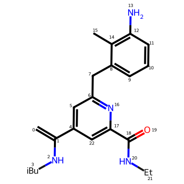 C=C(NC(C)CC)c1cc(Cc2cccc(N)c2C)nc(C(=O)NCC)c1